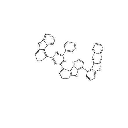 C1=C(c2nc(-c3ccccc3)nc(-c3cccc4oc5ccccc5c34)n2)c2c(oc3c(-c4cccc5oc6cc7ccccc7cc6c45)cccc23)CC1